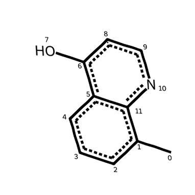 Cc1cccc2c(O)[c]cnc12